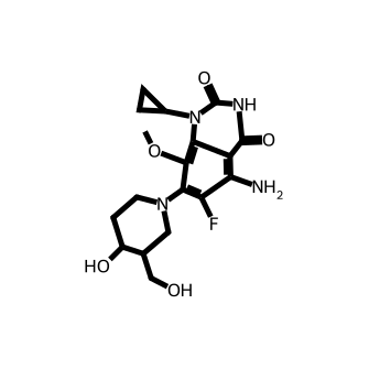 COc1c(N2CCC(O)C(CO)C2)c(F)c(N)c2c(=O)[nH]c(=O)n(C3CC3)c12